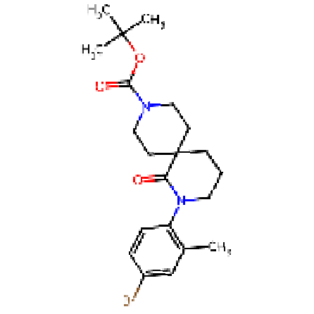 Cc1cc(Br)ccc1N1CCCC2(CCN(C(=O)OC(C)(C)C)CC2)C1=O